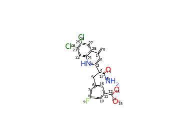 C=C1C=C(C(Cc2cc(F)cc(C(=O)OC)c2)C(N)=O)Nc2cc(Cl)c(Cl)cc21